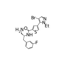 CCn1ncc(Br)c1-c1csc(C(=O)N[C@H](CN)Cc2cccc(F)c2)c1